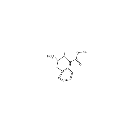 CC(NC(=O)OC(C)(C)C)C(Cc1ccccc1)C(=O)O